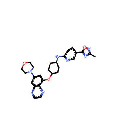 Cc1noc(-c2ccc(NC3CCC(Oc4cc(N5CCOCC5)cc5nccnc45)CC3)nc2)n1